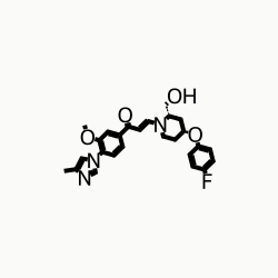 COc1cc(C(=O)C=CN2CC[C@H](Oc3ccc(F)cc3)C[C@H]2CO)ccc1-n1cnc(C)c1